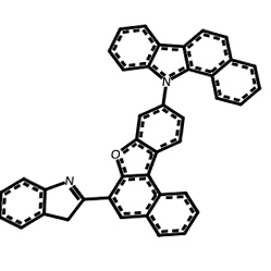 c1ccc2c(c1)CC(c1cc3ccccc3c3c1oc1cc(-n4c5ccccc5c5ccc6ccccc6c54)ccc13)=N2